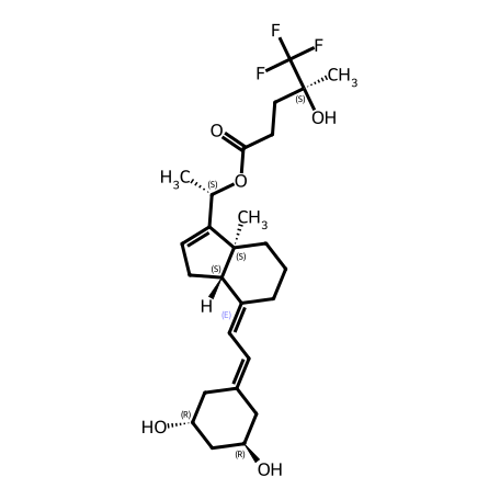 C[C@H](OC(=O)CC[C@](C)(O)C(F)(F)F)C1=CC[C@H]2/C(=C/C=C3C[C@@H](O)C[C@H](O)C3)CCC[C@]12C